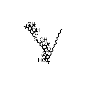 CCCCCCCCCCCCCC(Cc1cc(C(C)(C)C)c(O)c(C(C)(C)C)c1)C(=O)Oc1c(C(C)(C)C)cc(CC(CCSCCC(Cc2cc(C(C)(C)C)c(O)c(C(C)(C)C)c2)C(=O)O)C(=O)O)cc1C(C)(C)C